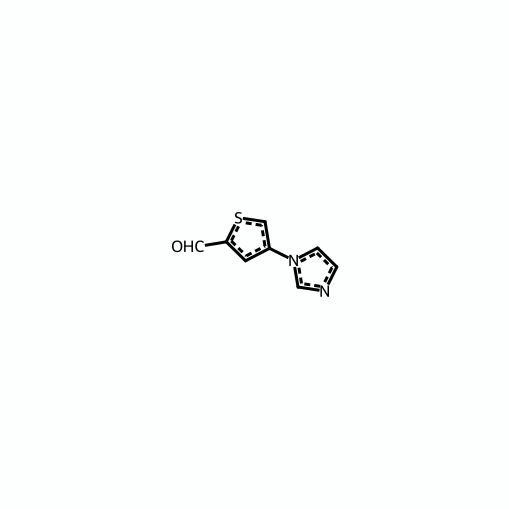 O=Cc1cc(-n2ccnc2)cs1